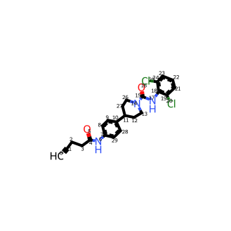 C#CCCC(=O)Nc1ccc(C2CCN(C(=O)Nc3c(Cl)cccc3Cl)CC2)cc1